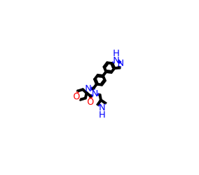 O=C1N(CC2CNC2)C(c2ccc(-c3ccc4[nH]ncc4c3)cc2)=NC12CCOCC2